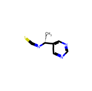 C[C@@H](N=C=S)c1cncnc1